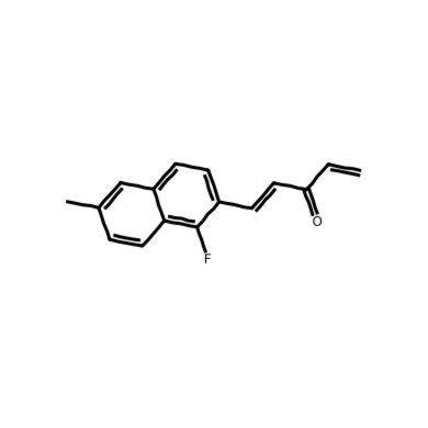 C=CC(=O)/C=C/c1ccc2cc(C)ccc2c1F